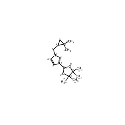 CC1(C)CC1Cn1cc(B2OC(C)(C)C(C)(C)O2)cn1